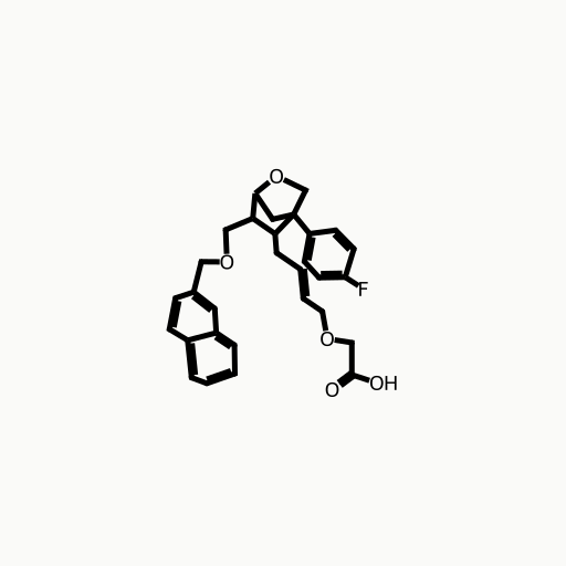 O=C(O)COC/C=C/CC1C(COCc2ccc3ccccc3c2)C2CC1(c1ccc(F)cc1)CO2